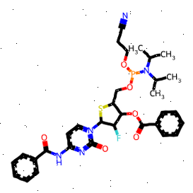 CC(C)N(C(C)C)P(OCCC#N)OCC1SC(n2ccc(NC(=O)c3ccccc3)nc2=O)C(F)C1OC(=O)c1ccccc1